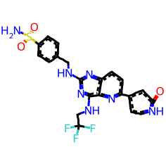 NS(=O)(=O)c1ccc(CNc2nc(NCC(F)(F)F)c3nc(-c4cc[nH]c(=O)c4)ccc3n2)cc1